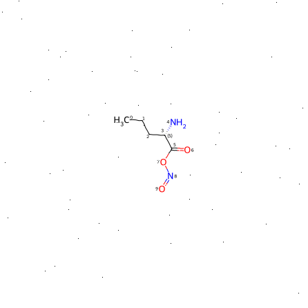 CCC[C@H](N)C(=O)ON=O